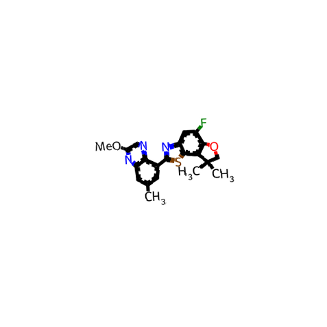 COc1cnc2c(-c3nc4cc(F)c5c(c4s3)C(C)(C)CO5)cc(C)cc2n1